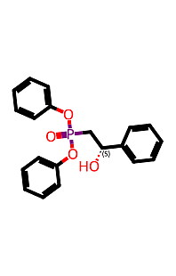 O=P(C[C@@H](O)c1ccccc1)(Oc1ccccc1)Oc1ccccc1